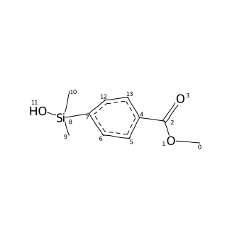 COC(=O)c1ccc([Si](C)(C)O)cc1